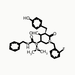 CN(C)N(C(=O)NCc1ccccc1)C1CN(Cc2ccccc2F)C(=O)[C@H](Cc2ccc(O)cc2)C1C=O